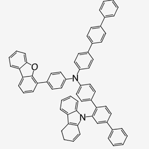 C1=Cc2c(c3ccccc3n2-c2cc(-c3ccccc3)ccc2-c2ccc(N(c3ccc(-c4ccc(-c5ccccc5)cc4)cc3)c3ccc(-c4cccc5c4oc4ccccc45)cc3)cc2)CC1